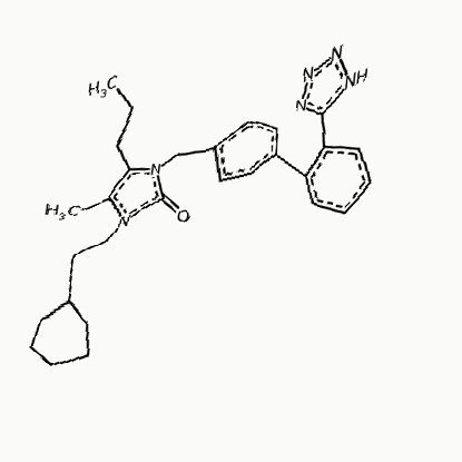 CCCc1c(C)n(CCC2CCCCC2)c(=O)n1Cc1ccc(-c2ccccc2-c2nnn[nH]2)cc1